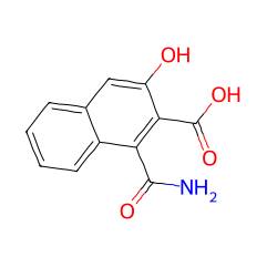 NC(=O)c1c(C(=O)O)c(O)cc2ccccc12